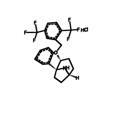 Cl.FC(F)(F)c1ccc(C(F)(F)F)c(CO[C@@H]2CC[C@H]3CC[C@]2(c2ccccc2)N3)c1